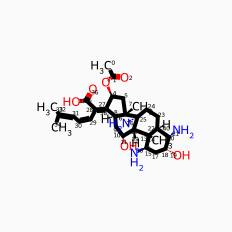 CC(=O)O[C@H]1C[C@@]2(C)[C@@H](C[C@@H](O)[C@H]3[C@@]4(C)[C@H](N)C[C@@H](O)[C@@H](N)[C@@H]4CC[C@@]32N)/C1=C(\C=C/C=C(C)C)C(=O)O